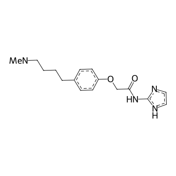 CNCCCCc1ccc(OCC(=O)Nc2ncc[nH]2)cc1